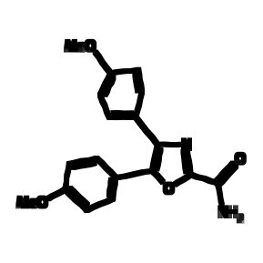 COc1ccc(-c2nc(C(N)=O)oc2-c2ccc(OC)cc2)cc1